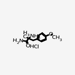 COc1ccc(CC(C)(N)C(N)=O)cc1.Cl